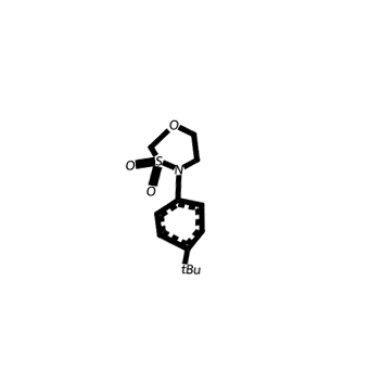 CC(C)(C)c1ccc(N2CCOCS2(=O)=O)cc1